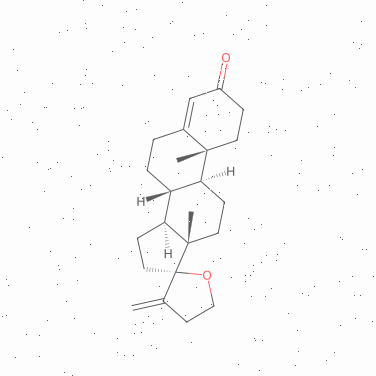 C=C1CCO[C@@]12CC[C@H]1[C@@H]3CCC4=CC(=O)CC[C@]4(C)[C@H]3CC[C@@]12C